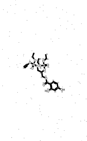 C#COP(=O)(OCC)OCC(COC(=O)c1ccc(O)cc1O)OP(=O)(OCC)OCC